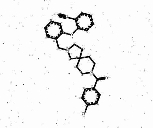 N#Cc1ccccc1Oc1ccccc1CN1CCC2(CCN(C(=O)c3ccc(Cl)cc3)CC2)C1